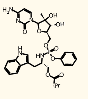 CC(C)C(=O)OC[C@H](Cc1c[nH]c2ccccc12)NP(=O)(OC[C@H]1OC(n2ccc(N)nc2=O)[C@](C)(O)[C@@H]1O)Oc1ccccc1